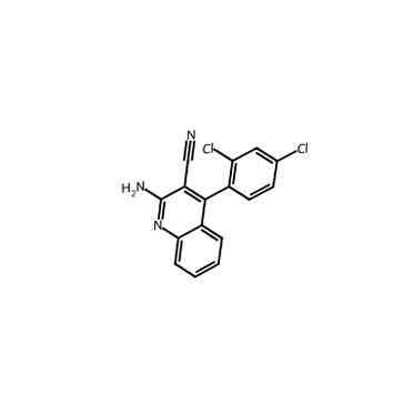 N#Cc1c(N)nc2ccccc2c1-c1ccc(Cl)cc1Cl